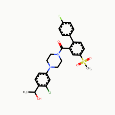 CC(O)c1ccc(N2CCN(C(=O)c3cc(S(C)(=O)=O)ccc3-c3ccc(F)cc3)CC2)cc1Cl